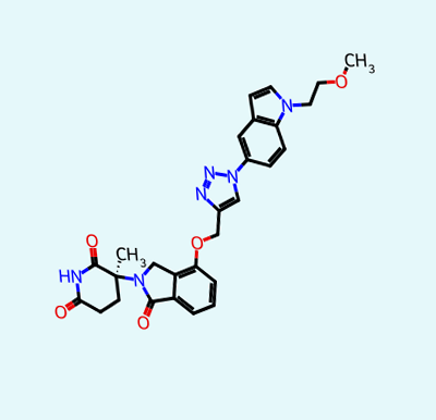 COCCn1ccc2cc(-n3cc(COc4cccc5c4CN([C@@]4(C)CCC(=O)NC4=O)C5=O)nn3)ccc21